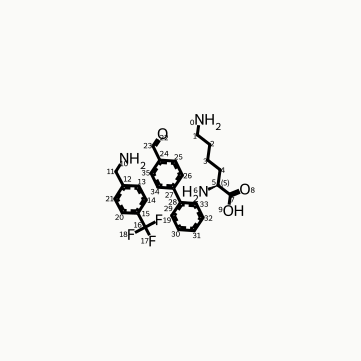 NCCCC[C@H](N)C(=O)O.NCc1ccc(C(F)(F)F)cc1.O=Cc1ccc(-c2ccccc2)cc1